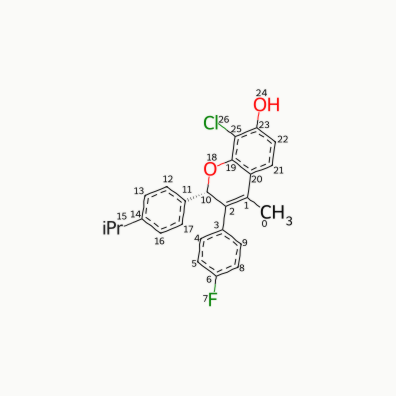 CC1=C(c2ccc(F)cc2)[C@H](c2ccc(C(C)C)cc2)Oc2c1ccc(O)c2Cl